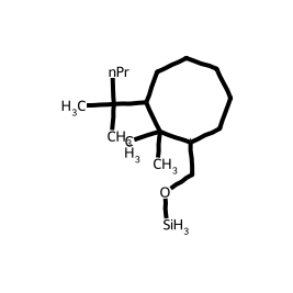 CCCC(C)(C)C1CCCCC[C](CO[SiH3])C1(C)C